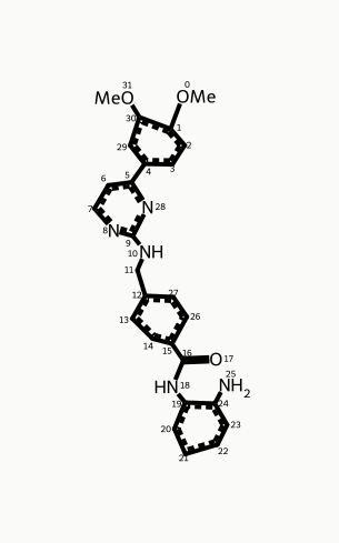 COc1ccc(-c2ccnc(NCc3ccc(C(=O)Nc4ccccc4N)cc3)n2)cc1OC